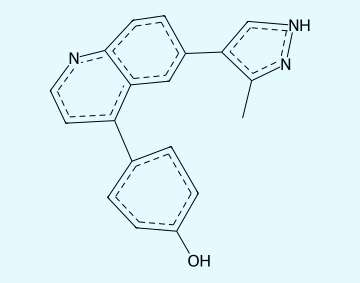 Cc1n[nH]cc1-c1ccc2nccc(-c3ccc(O)cc3)c2c1